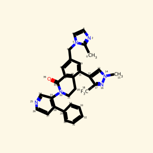 Cc1nccn1Cc1cc2c(c(-c3cn(C)nc3C(F)(F)F)c1)CCN(c1cnccc1-c1ccccc1)C2=O